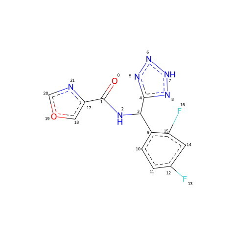 O=C(NC(c1nn[nH]n1)c1ccc(F)cc1F)c1cocn1